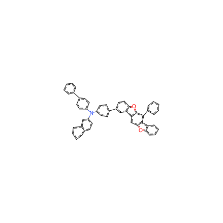 c1ccc(-c2ccc(N(c3ccc(-c4ccc5oc6c(-c7ccccc7)c7c(cc6c5c4)oc4ccccc47)cc3)c3ccc4ccccc4c3)cc2)cc1